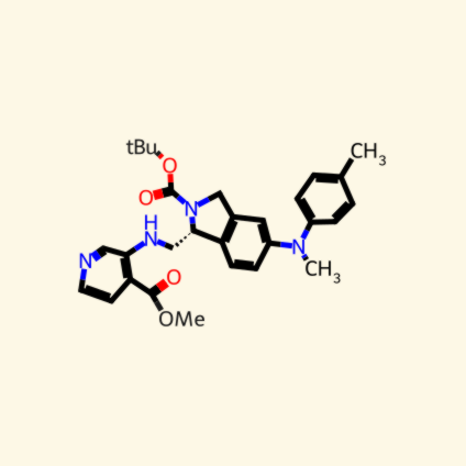 COC(=O)c1ccncc1NC[C@H]1c2ccc(N(C)c3ccc(C)cc3)cc2CN1C(=O)OC(C)(C)C